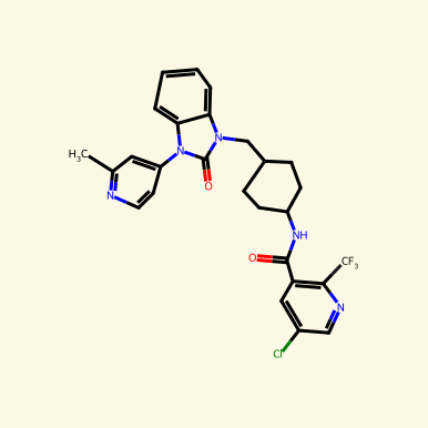 Cc1cc(-n2c(=O)n(CC3CCC(NC(=O)c4cc(Cl)cnc4C(F)(F)F)CC3)c3ccccc32)ccn1